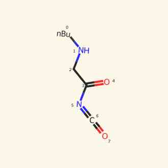 CCCCNCC(=O)N=C=O